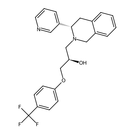 O[C@@H](COc1ccc(C(F)(F)F)cc1)CN1Cc2ccccc2C[C@H]1c1cccnc1